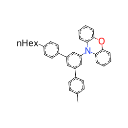 CCCCCCc1ccc(-c2cc(-c3ccc(C)cc3)cc(N3c4ccccc4Oc4ccccc43)c2)cc1